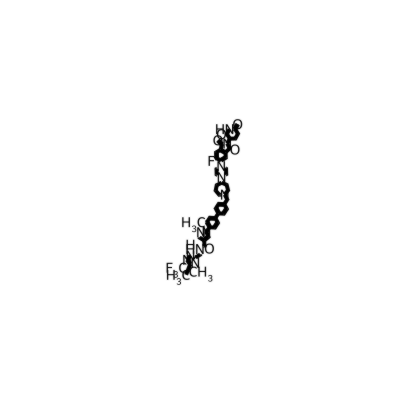 Cc1cc(-c2ccc(CN3CCCC(N4CCN(c5cc6c(cc5F)C(=O)N(C5CCC(=O)NC5=O)C6=O)CC4)CC3)cc2)ccc1-n1cc(C(=O)NCc2nc(C(C)(C)C(F)(F)F)n[nH]2)cn1